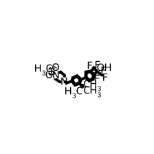 CC(C)(C)c1cc(CN2CCN(S(C)(=O)=O)CC2)ccc1-c1ccc2c(c1)C(F)(F)C2(O)C(F)(F)F